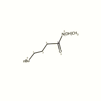 CCCCCCCC(=O)N(C)O